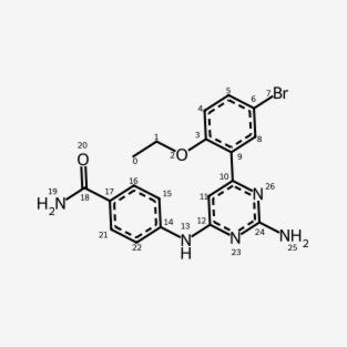 CCOc1ccc(Br)cc1-c1cc(Nc2ccc(C(N)=O)cc2)nc(N)n1